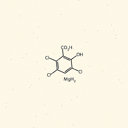 O=C(O)c1c(O)c(Cl)cc(Cl)c1Cl.[MgH2]